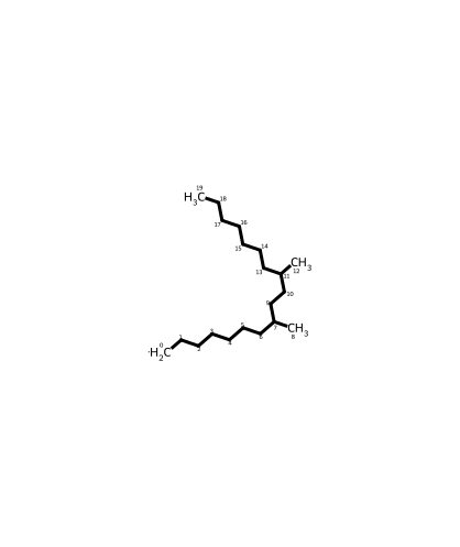 [CH2]CCCCCCC(C)CCC(C)CCCCCCC